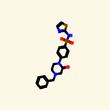 O=C1CN(Cc2ccccc2)CCN1c1ccc(S(=O)(=O)Nc2nccs2)cc1